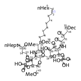 CCCCCC/C=C\CCCCCCCCCC(=O)N[C@H]1C(OC[C@H]2O[C@H](OP(=O)(O)O)[C@H](NC(=O)CC(=O)CCCCCCCCCCC)[C@@H](OCCCCCCCCCC)[C@@H]2O)O[C@H](COC)[C@@H](OP(=O)(O)O)[C@@H]1OCC[C@@H](CCCCCCC)OC